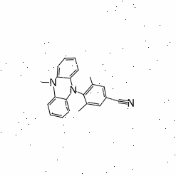 Cc1cc(C#N)cc(C)c1N1c2ccccc2N(C)c2ccccc21